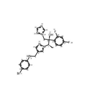 C[C@@H](n1cc(CNc2ccc(Br)cc2)cn1)[C@](O)(Cn1cncn1)c1ccc(F)cc1F